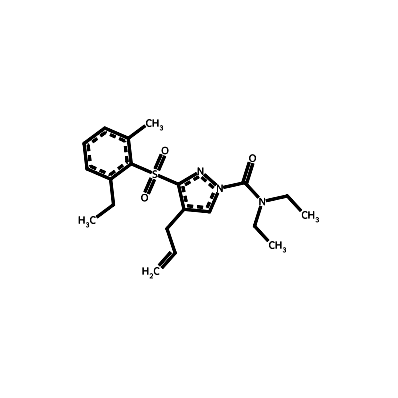 C=CCc1cn(C(=O)N(CC)CC)nc1S(=O)(=O)c1c(C)cccc1CC